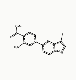 COC(=O)c1ccc(-c2ccn3ncc(I)c3n2)cc1N